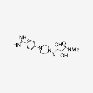 C=C([C@H](O)[C@@H](O)C(=O)NC)N1CCN(c2ccc(C(=N)N)cc2)CC1